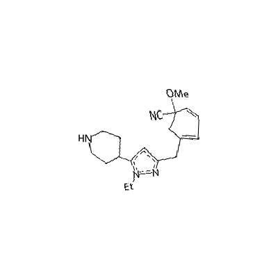 CCn1nc(CC2=CC=CC(C#N)(OC)C2)cc1C1CCNCC1